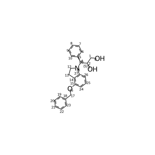 OC[C@@H](O)[C@H](c1ccccc1)N1CCc2c(OCc3ccccc3)cccc21